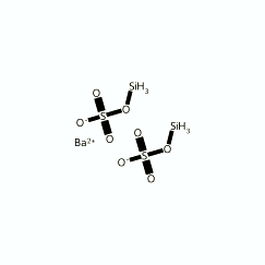 O=S(=O)([O-])O[SiH3].O=S(=O)([O-])O[SiH3].[Ba+2]